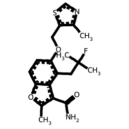 Cc1ncsc1COc1ccc2oc(C)c(C(N)=O)c2c1CC(C)(C)F